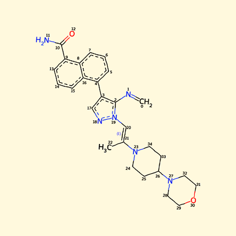 C=Nc1c(-c2cccc3c(C(N)=O)cccc23)cnn1/C=C(\C)N1CCC(N2CCOCC2)CC1